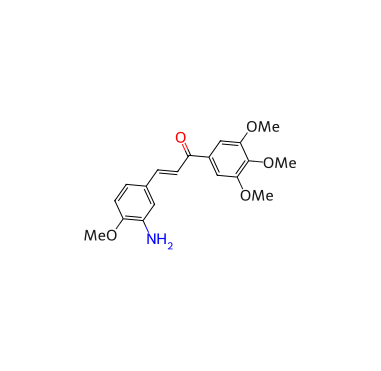 COc1ccc(/C=C/C(=O)c2cc(OC)c(OC)c(OC)c2)cc1N